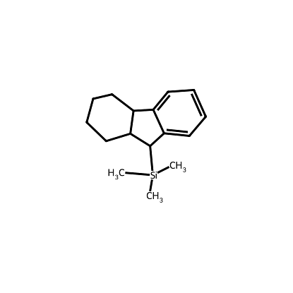 C[Si](C)(C)C1c2ccccc2C2CCCCC21